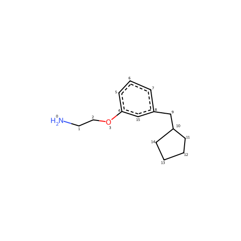 NCCOc1cccc(CC2CCCC2)c1